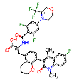 Cc1c(-c2ccc(C[C@H](NC(=O)c3c(F)cc(N4CCOC[C@@H]4C(F)(F)F)cc3F)C(=O)O)c3c2OCCC3)c(=O)n(C)c2ccc(F)cc12